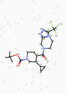 CC(C)(C)OC(=O)N1CCC(C(=O)N2CCn3c(nnc3C(F)(F)F)C2)C(C2CC2)C1